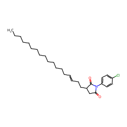 CCCCCCCCCCCCCCC=CCCC1CC(=O)N(c2c[c]c(Cl)cc2)C1=O